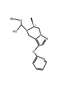 C[C@H]1Cn2ncc(Oc3ccccn3)c2CN1C(O)OC(C)(C)C